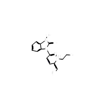 CC\C=C(/C=C\C(=N/C)n1c(=O)n(C)c2ccccc21)OCCO